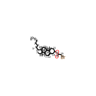 CC(C)CCC[C@@H](C)[C@H]1CC[C@H]2[C@@H]3CC=C4CC(OC(=O)CBr)CC[C@]4(C)[C@H]3CC[C@]12C